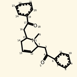 CN1C(CC(=O)c2ccccc2)C=CCC1CC(=O)c1ccccc1